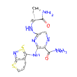 CC[C@@H](Nc1cnc(C(N)=O)c(Nc2snc3sccc23)n1)C(N)=O